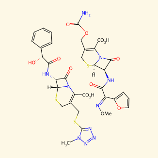 CO/N=C(/C(=O)N[C@@H]1C(=O)N2C(C(=O)O)=C(COC(N)=O)CS[C@H]12)c1ccco1.Cn1nnnc1SCC1=C(C(=O)O)N2C(=O)[C@@H](NC(=O)[C@H](O)c3ccccc3)[C@H]2SC1